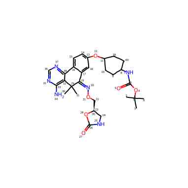 CC(C)(C)OC(=O)NC1CCC(Oc2ccc3c(c2)C(=NOC[C@H]2CNC(=O)O2)C(C)(C)c2c(N)ncnc2-3)CC1